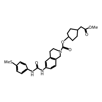 COC(=O)CC1CCC(OC(=O)N2CCc3cc(NC(=O)Nc4ccc(SC)cc4)ccc3C2)CC1